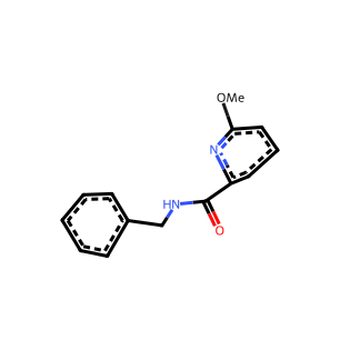 COc1cccc(C(=O)NCc2ccccc2)n1